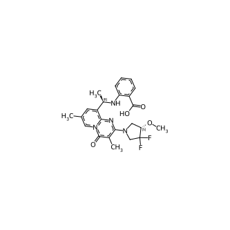 CO[C@H]1CN(c2nc3c([C@@H](C)Nc4ccccc4C(=O)O)cc(C)cn3c(=O)c2C)CC1(F)F